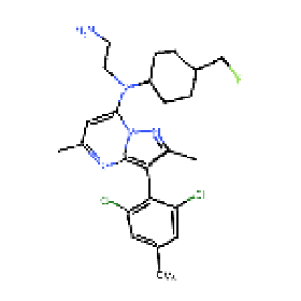 COc1cc(Cl)c(-c2c(C)nn3c(N(CCN)C4CCC(CF)CC4)cc(C)nc23)c(Cl)c1